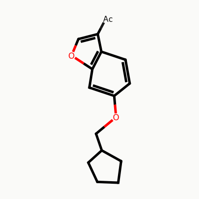 [CH2]C(=O)c1coc2cc(OCC3CCCC3)ccc12